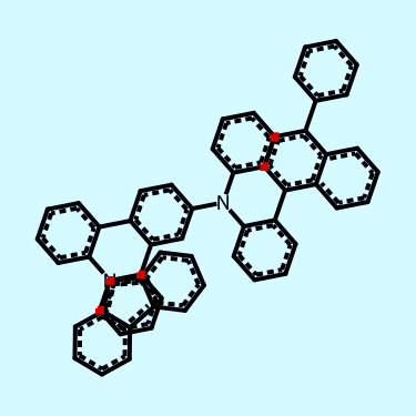 c1ccc(-c2cc(N(c3ccccc3)c3ccccc3-c3ccc(-c4ccccc4)c4ccccc34)ccc2-c2ccccc2-n2c3ccccc3c3ccccc32)cc1